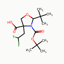 CC(C)(C)OC(=O)N1C(C(C)(C)C)OCC1(CC(F)F)C(=O)O